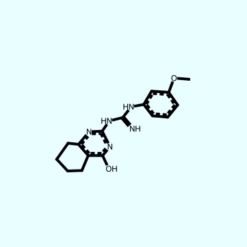 COc1cccc(NC(=N)Nc2nc(O)c3c(n2)CCCC3)c1